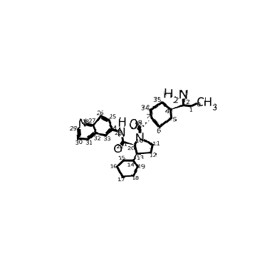 CCC(N)[C@H]1CC[C@H](C(=O)N2CC[C@@H](C3CCCCC3)[C@H]2C(=O)Nc2ccc3ncccc3c2)CC1